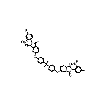 Cc1ccc(N2C(=O)c3ccc(Oc4ccc(C(C)(C)c5ccc(Oc6ccc7c(c6)C(=O)N(c6ccc(F)cc6[N+](=O)[O-])C7=O)cc5)cc4)cc3C2=O)c([N+](=O)[O-])c1